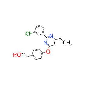 CCc1cc(Oc2ccc(CCO)cc2)nc(-c2cccc(Cl)c2)n1